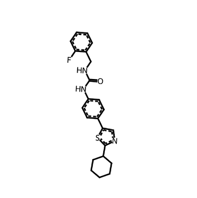 O=C(NCc1ccccc1F)Nc1ccc(-c2cnc(C3CCCCC3)s2)cc1